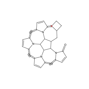 O=C1C=CC(=O)N1C1C(CC2CCC2)C(N2C(=O)C=CC2=O)C(N2C(=O)C=CC2=O)C1N1C(=O)C=CC1=O